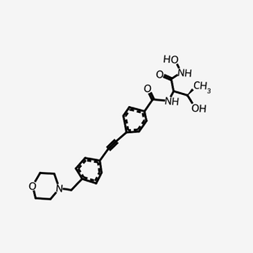 C[C@@H](O)C(NC(=O)c1ccc(C#Cc2ccc(CN3CCOCC3)cc2)cc1)C(=O)NO